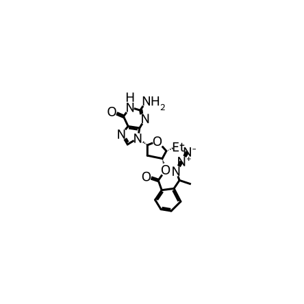 CC[C@H]1O[C@@H](n2cnc3c(=O)[nH]c(N)nc32)C[C@H]1OC(=O)c1ccccc1C(C)N=[N+]=[N-]